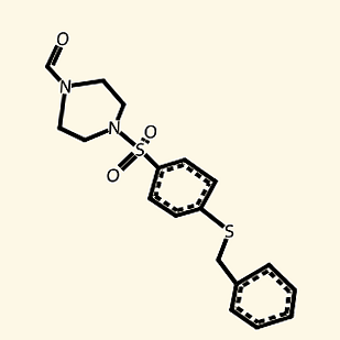 O=CN1CCN(S(=O)(=O)c2ccc(SCc3ccccc3)cc2)CC1